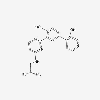 CC[C@@H](N)CNc1ccnc(-c2cc(-c3ccccc3O)ccc2O)n1